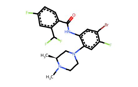 C[C@H]1CN(c2cc(F)c(Br)cc2NC(=O)c2ccc(F)cc2C(F)F)CCN1C